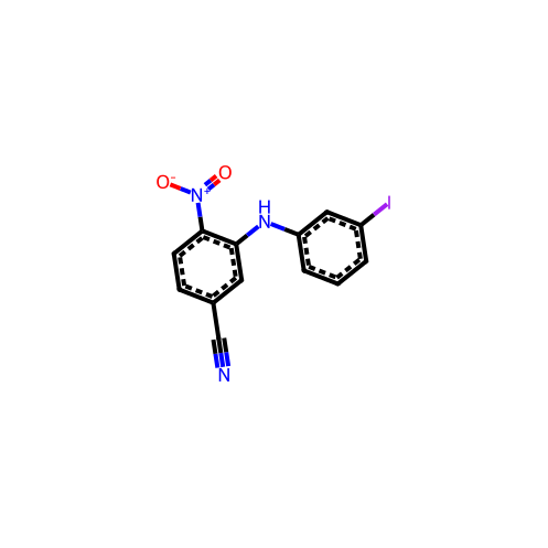 N#Cc1ccc([N+](=O)[O-])c(Nc2cccc(I)c2)c1